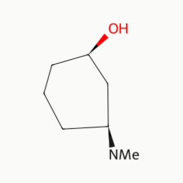 CN[C@H]1CCC[C@@H](O)C1